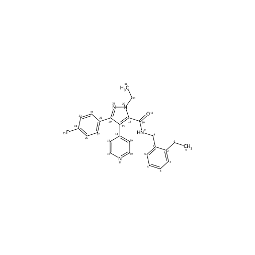 CCc1ccccc1CNC(=O)c1c(-c2ccncc2)c(-c2ccc(F)cc2)nn1CC